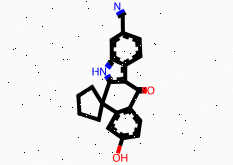 N#Cc1ccc2c3c([nH]c2c1)C1(CCCC1)c1cc(O)ccc1C3=O